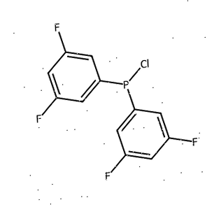 Fc1cc(F)cc(P(Cl)c2cc(F)cc(F)c2)c1